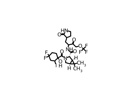 CC1(C)[C@@H]2[C@@H](C(=O)NC(CC3CCNC3=O)C(=O)COC(F)(F)F)N(C(=O)C3(O)CCC(F)(F)CC3I)C[C@@H]21